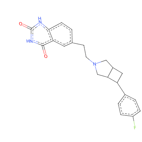 O=c1[nH]c(=O)c2cc(CCN3CC4CC(c5ccc(F)cc5)C4C3)ccc2[nH]1